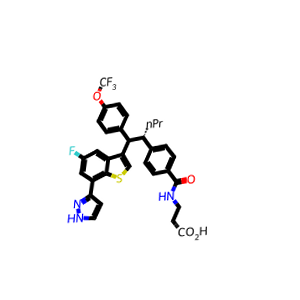 CCC[C@H](c1ccc(C(=O)NCCC(=O)O)cc1)C(c1ccc(OC(F)(F)F)cc1)c1csc2c(-c3cc[nH]n3)cc(F)cc12